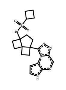 O=S(=O)(NC12CCC3(c4nnc5cnc6[nH]ccc6n45)CCC13CC2)C1CCC1